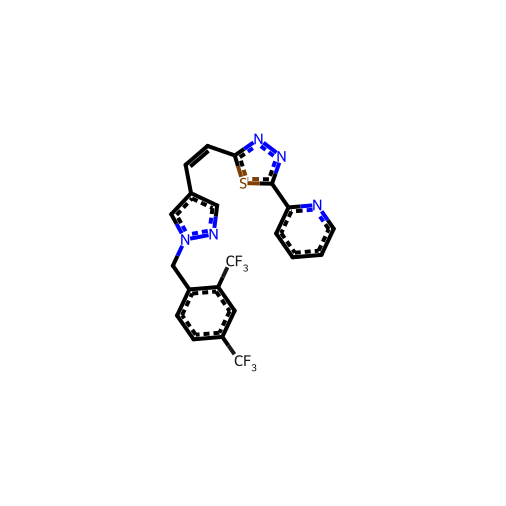 FC(F)(F)c1ccc(Cn2cc(/C=C\c3nnc(-c4ccccn4)s3)cn2)c(C(F)(F)F)c1